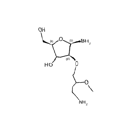 B[C@@H]1O[C@H](CO)C(O)[C@@H]1OCC(CN)OC